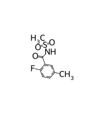 Cc1ccc(F)c(C(=O)NS(C)(=O)=O)c1